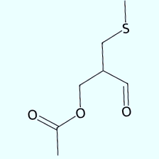 CSCC(C=O)COC(C)=O